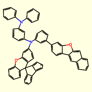 c1ccc(N(c2ccccc2)c2cccc(N(c3cccc(-c4ccc5c(c4)oc4cc6ccccc6cc45)c3)c3ccc4c(c3)Oc3ccccc3C43c4ccccc4-c4ccccc43)c2)cc1